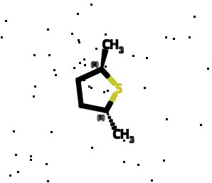 C[C@@H]1CC[C@@H](C)S1